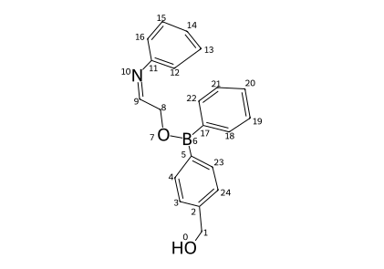 OCc1ccc(B(OC/C=N\c2ccccc2)c2ccccc2)cc1